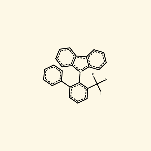 FC(F)(F)c1cccc(-c2ccccc2)c1-n1c2ccccc2c2ccccc21